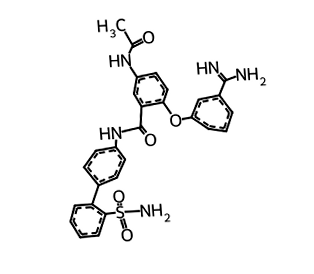 CC(=O)Nc1ccc(Oc2cccc(C(=N)N)c2)c(C(=O)Nc2ccc(-c3ccccc3S(N)(=O)=O)cc2)c1